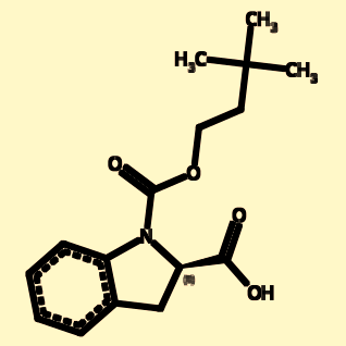 CC(C)(C)CCOC(=O)N1c2ccccc2C[C@@H]1C(=O)O